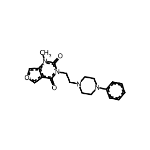 Cn1c(=O)n(CCN2CCN(c3ccccc3)CC2)c(=O)c2cocc21